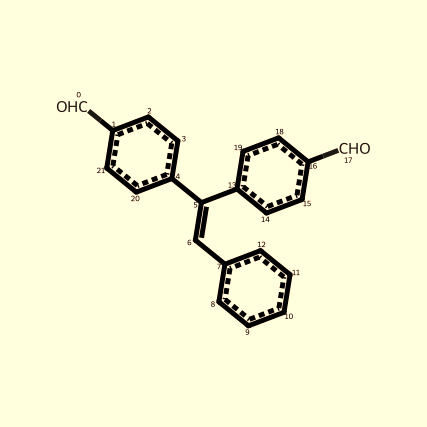 O=Cc1ccc(C(=Cc2ccccc2)c2ccc(C=O)cc2)cc1